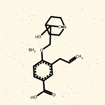 B.C=CCc1cc(C(=O)O)ccc1OCC1(O)CN2CCC1CC2